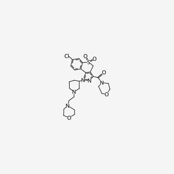 O=C(c1nn(C2CCCN(CCN3CCOCC3)C2)c2c1CS(=O)(=O)c1cc(Cl)ccc1-2)N1CCOCC1